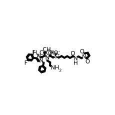 CC(C)(C)[C@H](c1nc(-c2cc(F)ccc2F)cn1Cc1ccccc1)N(CCCN)C(=O)C[S+]([O-])CCCCCC(=O)NCCN1C(=O)C=CC1=O